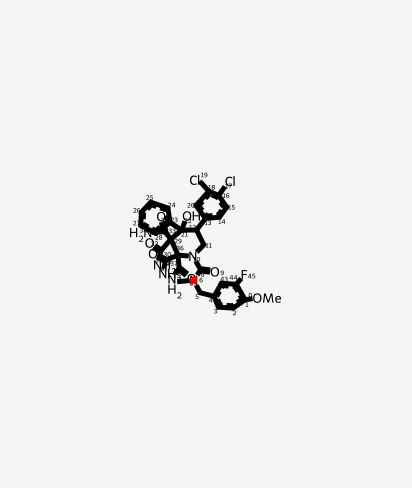 COc1ccc(CN(C)C(=O)N2CC(c3ccc(Cl)c(Cl)c3)C(O)(c3ccccc3)C(C(N)=O)(C(N)=O)C2(C(N)=O)C(N)=O)cc1F